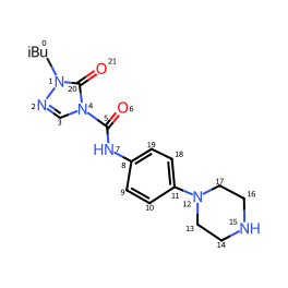 CCC(C)n1ncn(C(=O)Nc2ccc(N3CCNCC3)cc2)c1=O